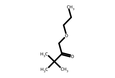 CCCOCC(=O)C(C)(C)C